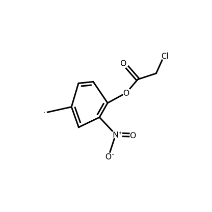 [CH2]c1ccc(OC(=O)CCl)c([N+](=O)[O-])c1